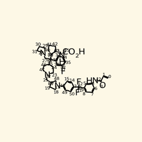 C=CC(=O)Nc1cccc(C(F)(F)c2ccc(N3CC[C@@H](CN4CCC([C@@](CN5CCC5)(c5cccc(F)c5)[C@H]5CCC[C@@H]5NC(=O)O)CC4)C3)cc2)c1